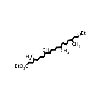 CCO/C=C/C(C)=C/C=C/C(C)=C/C=C/C=C(C)/C=C/C=C(C)/C=C/C(=O)OCC